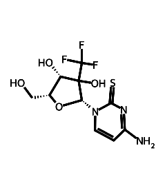 Nc1ccn([C@@H]2O[C@H](CO)[C@H](O)C2(O)C(F)(F)F)c(=S)n1